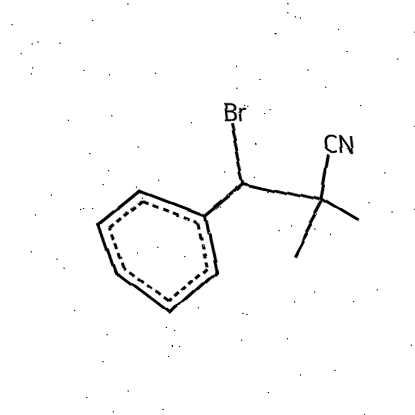 CC(C)(C#N)C(Br)c1ccccc1